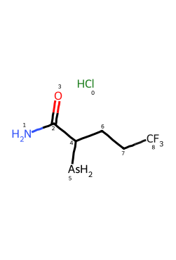 Cl.NC(=O)C([AsH2])CCC(F)(F)F